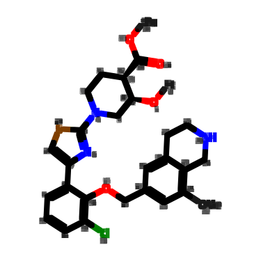 CCO[C@H]1CN(c2nc(-c3cccc(Cl)c3OCc3cc4c(c(OC)c3)CNCC4)cs2)CC[C@H]1C(=O)OC(C)(C)C